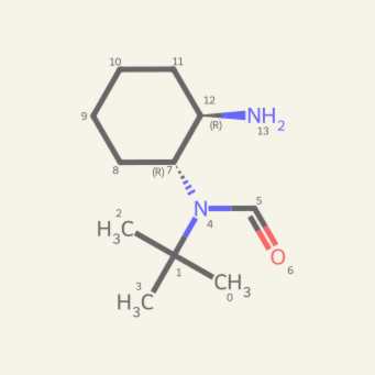 CC(C)(C)N(C=O)[C@@H]1CCCC[C@H]1N